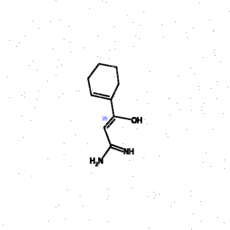 N=C(N)/C=C(\O)C1=CCCCC1